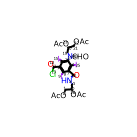 CC(=O)OCC(CNC(=O)c1c(I)c(C(=O)Cl)c(I)c(N(C=O)CC(COC(C)=O)OC(C)=O)c1I)OC(C)=O